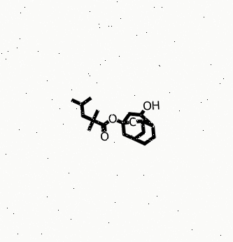 CC(C)CC(C)(C)C(=O)OC12CC3CCC(C(O)C1)C(C3)C2